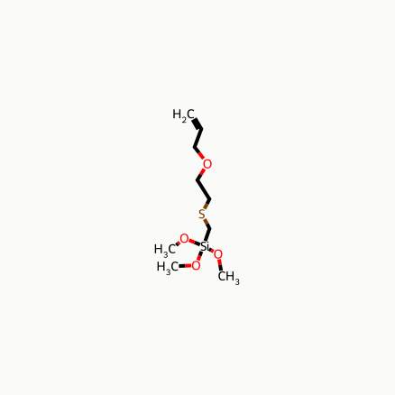 C=CCOCCSC[Si](OC)(OC)OC